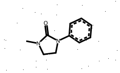 CN1CCN(c2cc[c]cc2)C1=O